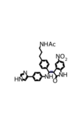 CC(=O)NCCCc1ccc(/C(Nc2ccc(-c3c[nH]cn3)cc2)=C2/C(=O)Nc3ccc([N+](=O)[O-])cc32)cc1